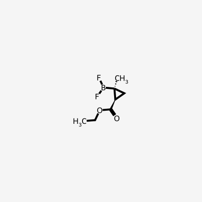 CCOC(=O)[C@@H]1C[C@]1(C)B(F)F